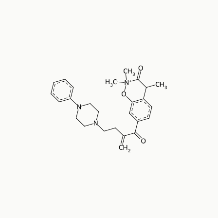 C=C(CCN1CCN(c2ccccc2)CC1)C(=O)c1ccc2c(c1)O[N+](C)(C)C(=O)C2C